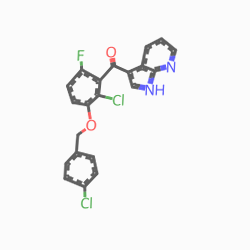 O=C(c1c(F)ccc(OCc2ccc(Cl)cc2)c1Cl)c1c[nH]c2ncccc12